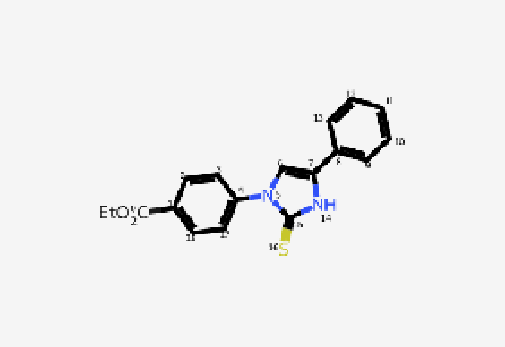 CCOC(=O)c1ccc(-n2cc(-c3ccccc3)[nH]c2=S)cc1